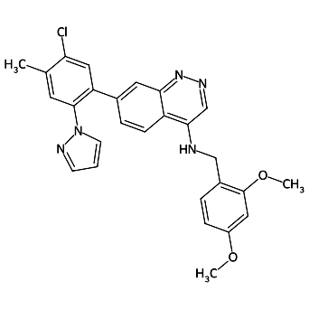 COc1ccc(CNc2cnnc3cc(-c4cc(Cl)c(C)cc4-n4cccn4)ccc23)c(OC)c1